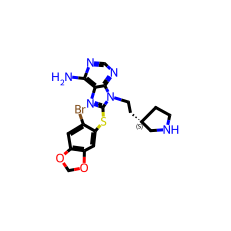 Nc1ncnc2c1nc(Sc1cc3c(cc1Br)OCO3)n2CC[C@@H]1CCNC1